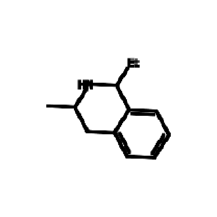 CCC1NC(C)Cc2ccccc21